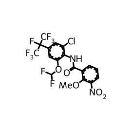 COc1c(C(=O)Nc2c(Cl)cc(C(F)(C(F)(F)F)C(F)(F)F)cc2OC(F)F)cccc1[N+](=O)[O-]